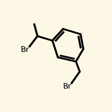 CC(Br)c1cccc(CBr)c1